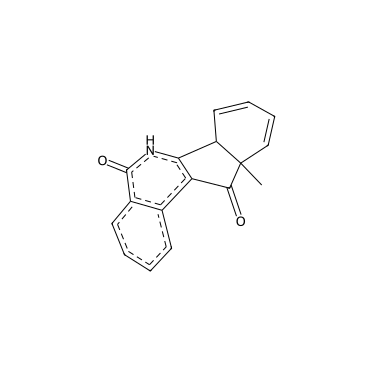 CC12C=CC=CC1c1[nH]c(=O)c3ccccc3c1C2=O